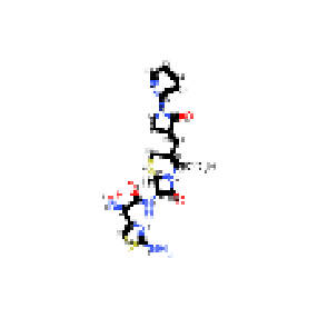 Nc1nc(/C(=N/O)C(=O)N[C@@H]2C(=O)N3C(C(=O)O)=C(/C=C4\CCN(c5ccccn5)C4=O)CS[C@H]23)cs1